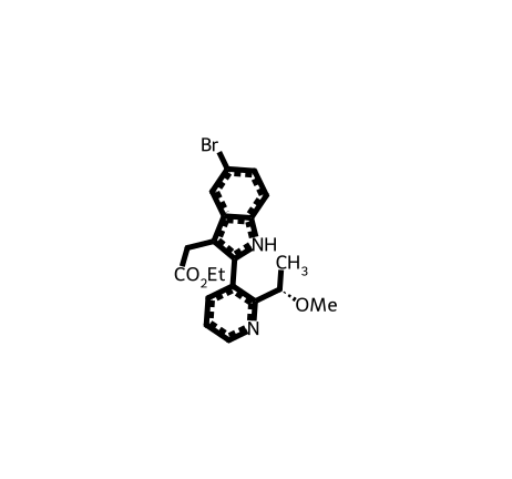 CCOC(=O)Cc1c(-c2cccnc2[C@H](C)OC)[nH]c2ccc(Br)cc12